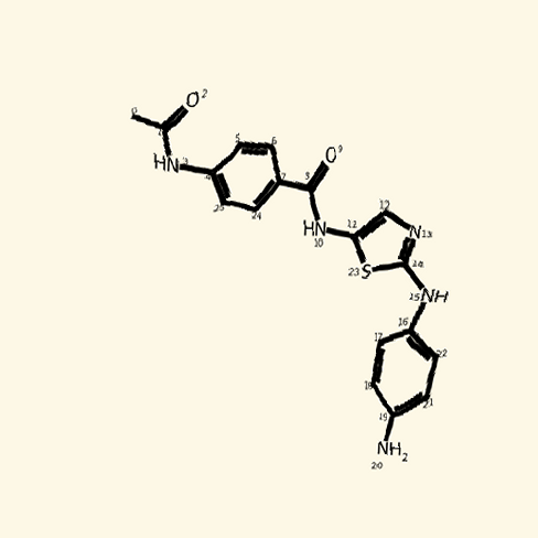 CC(=O)Nc1ccc(C(=O)Nc2cnc(Nc3ccc(N)cc3)s2)cc1